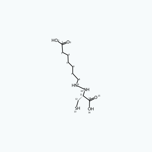 O=C(O)CCCCCCNN[C@@H](CS)C(=O)O